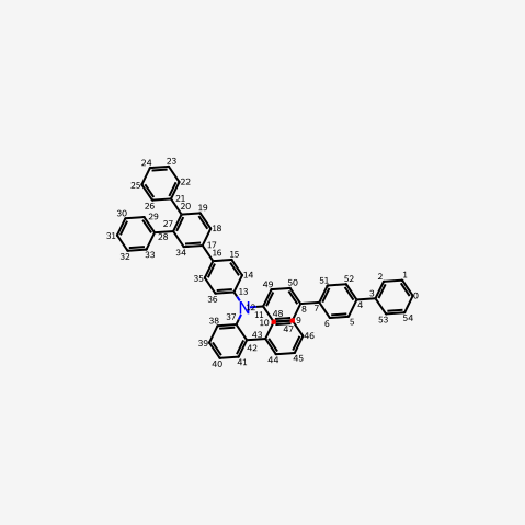 c1ccc(-c2ccc(-c3ccc(N(c4ccc(-c5ccc(-c6ccccc6)c(-c6ccccc6)c5)cc4)c4ccccc4-c4ccccc4)cc3)cc2)cc1